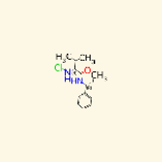 CC[C@@H](NC(=O)[C@H](NCl)C(C)C)c1ccccc1